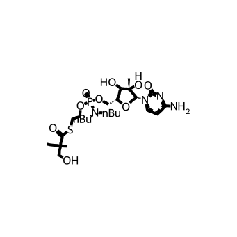 CCCCN(CCCC)P(=O)(OCCSC(=O)C(C)(C)CO)OC[C@H]1O[C@@H](n2ccc(N)nc2=O)[C@@](C)(O)C1O